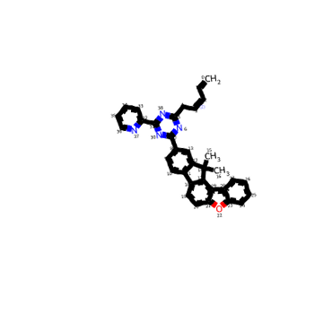 C=C/C=C\Cc1nc(-c2ccc3c(c2)C(C)(C)c2c-3ccc3oc4ccccc4c23)nc(-c2ccccn2)n1